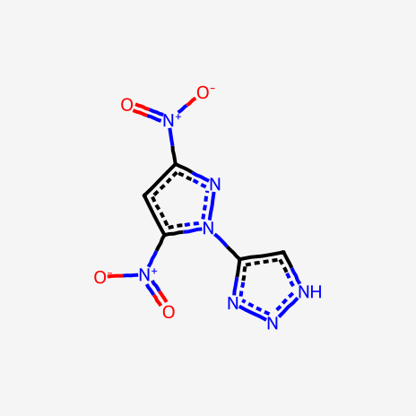 O=[N+]([O-])c1cc([N+](=O)[O-])n(-c2c[nH]nn2)n1